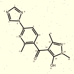 Cc1nc(-n2cncn2)ccc1C(=O)c1c(C)nn(C)c1O